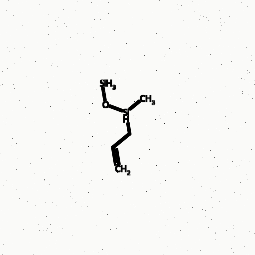 C=CC[SiH](C)O[SiH3]